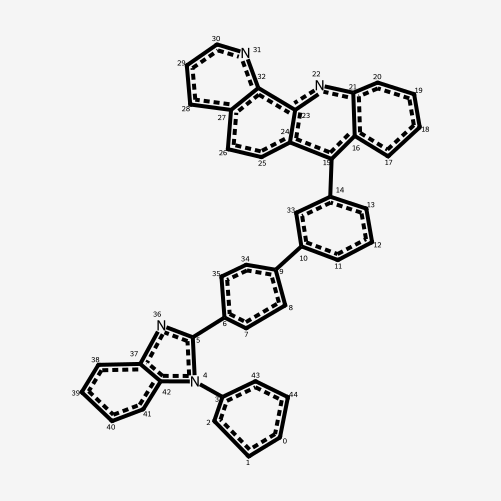 c1ccc(-n2c(-c3ccc(-c4cccc(-c5c6ccccc6nc6c5ccc5cccnc56)c4)cc3)nc3ccccc32)cc1